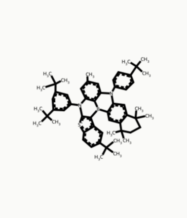 Cc1cc2c3c(c1)N(c1cc(C(C)(C)C)cc(C(C)(C)C)c1)c1sc4ccc(C(C)(C)C)cc4c1B3c1cc3c(cc1N2c1ccc(C(C)(C)C)cc1)C(C)(C)CCC3(C)C